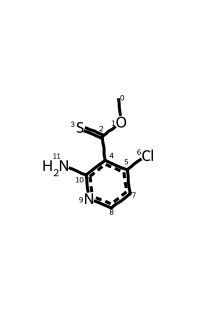 COC(=S)c1c(Cl)ccnc1N